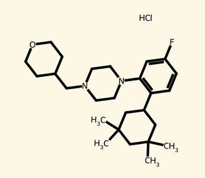 CC1(C)CC(c2ccc(F)cc2N2CCN(CC3CCOCC3)CC2)CC(C)(C)C1.Cl